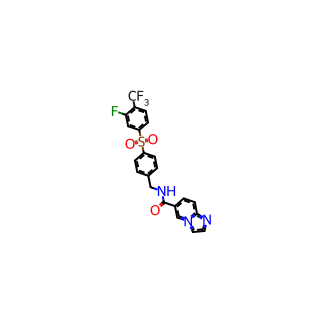 O=C(NCc1ccc(S(=O)(=O)c2ccc(C(F)(F)F)c(F)c2)cc1)c1ccc2nccn2c1